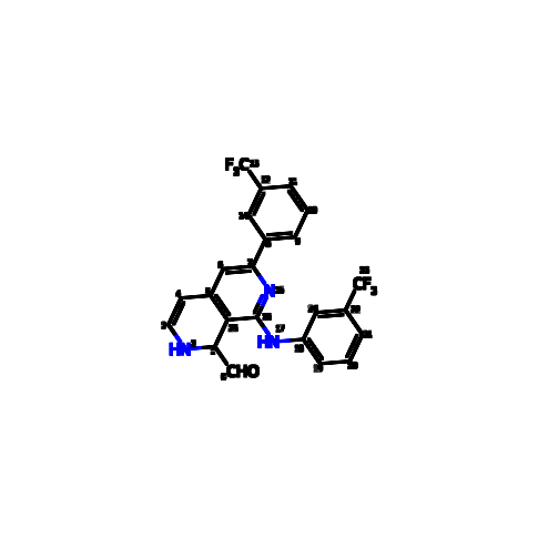 O=CC1NC=Cc2cc(-c3cccc(C(F)(F)F)c3)nc(Nc3cccc(C(F)(F)F)c3)c21